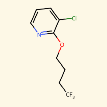 FC(F)(F)CCCOc1ncccc1Cl